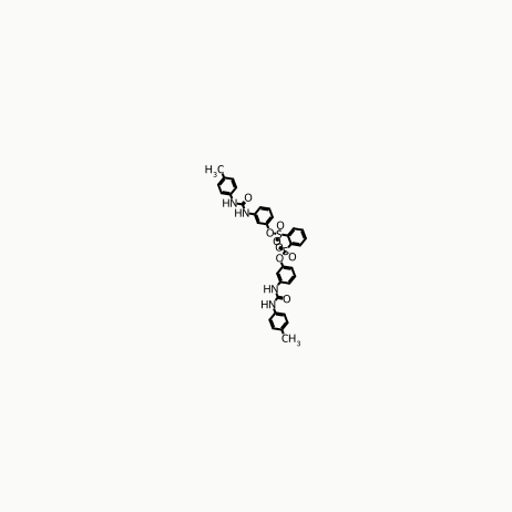 Cc1ccc(NC(=O)Nc2cccc(OS(=O)(=O)c3ccccc3S(=O)(=O)Oc3cccc(NC(=O)Nc4ccc(C)cc4)c3)c2)cc1